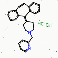 C1=Cc2ccccc2C(=C2CCN(Cc3ccccn3)CC2)c2ccccc21.Cl.Cl